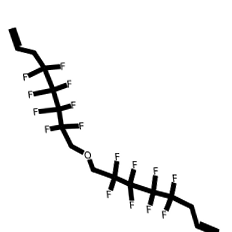 C=CCC(F)(F)C(F)(F)C(F)(F)C(F)(F)COCC(F)(F)C(F)(F)C(F)(F)C(F)(F)CC=C